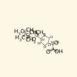 CC(O[Si](C)(C)C(C)(C)C)C1CCC(C(=O)C(=O)O)CC1